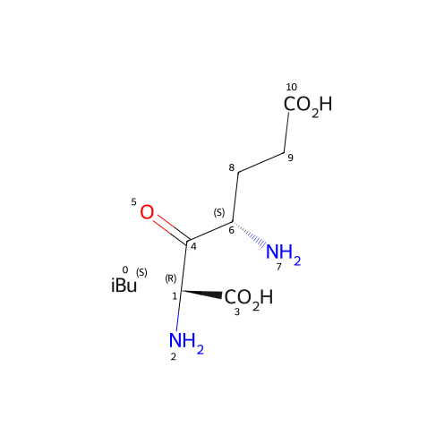 CC[C@H](C)[C@](N)(C(=O)O)C(=O)[C@@H](N)CCC(=O)O